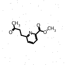 COC(=O)c1cccc(CCC(C)=O)n1